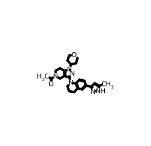 CC(=O)N1CCc2c(c(N3CCCc4cc(-c5cc(C)[nH]n5)ccc43)nn2C2CCOCC2)C1